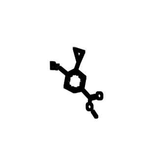 COC(=O)c1ccc(Br)c(C2CC2)c1